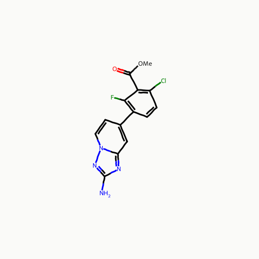 COC(=O)c1c(Cl)ccc(-c2ccn3nc(N)nc3c2)c1F